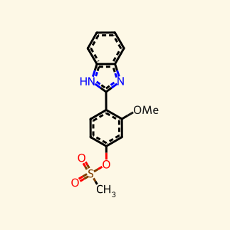 COc1cc(OS(C)(=O)=O)ccc1-c1nc2ccccc2[nH]1